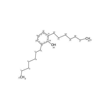 CCCCCCCc1cccc(CCCCCCC)c1O